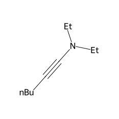 CCCCC#CN(CC)CC